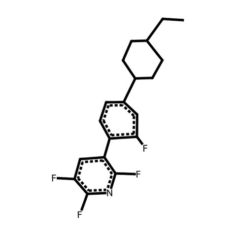 CCC1CCC(c2ccc(-c3cc(F)c(F)nc3F)c(F)c2)CC1